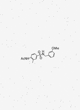 COc1cccc(CNS(=O)(=O)c2ccc(NC(C)=O)c(C)c2)c1